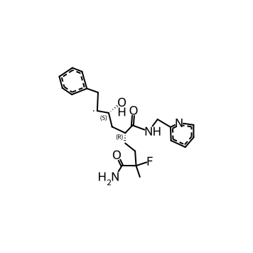 CC(F)(CC[C@H](C[C@@H](O)[CH]Cc1ccccc1)C(=O)NCc1ccccn1)C(N)=O